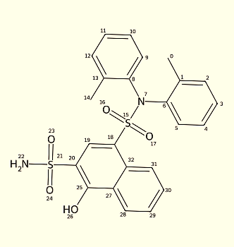 Cc1ccccc1N(c1ccccc1C)S(=O)(=O)c1cc(S(N)(=O)=O)c(O)c2ccccc12